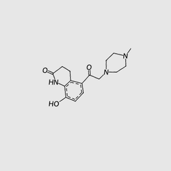 CN1CCN(CC(=O)c2ccc(O)c3c2CCC(=O)N3)CC1